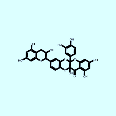 O=C1c2c(O)cc(O)cc2OC2(c3ccc(O)c(O)c3)Oc3cc(C4Oc5cc(O)cc(O)c5CC4O)ccc3OC12O